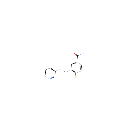 NC(=O)c1ccc(F)c(COc2cccnc2)c1